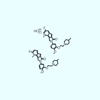 COc1ccc(N2Cc3c(cc4cc(F)cn(C)c3-4)C2=O)cc1OCCN1CCC(C)CC1.COc1ccc(N2Cc3c(cc4ccc(F)n(C)c3-4)C2=O)cc1OCCN1CCC(C)CC1.Cl.Cl